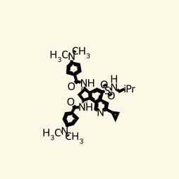 CC(C)CNS(=O)(=O)c1cc2c(c3cnc(C4CC4)cc13)[C@H](NC(=O)c1ccc(N(C)C)cc1)C[C@H]2NC(=O)c1ccc(N(C)C)cc1